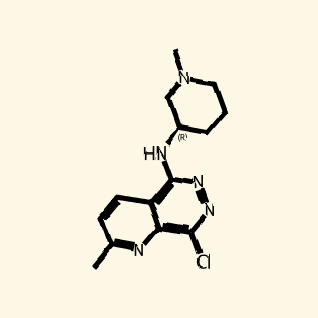 Cc1ccc2c(N[C@@H]3CCCN(C)C3)nnc(Cl)c2n1